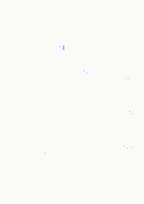 CC(=O)O.CNC1=NC(=N)/C(=C2\NC(=N)c3cc(Cl)c(Cl)cc32)S1